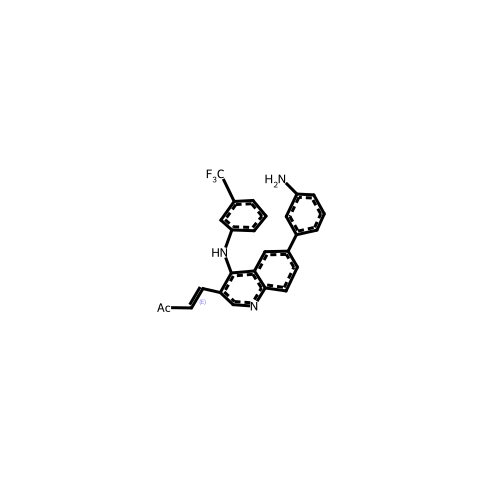 CC(=O)/C=C/c1cnc2ccc(-c3cccc(N)c3)cc2c1Nc1cccc(C(F)(F)F)c1